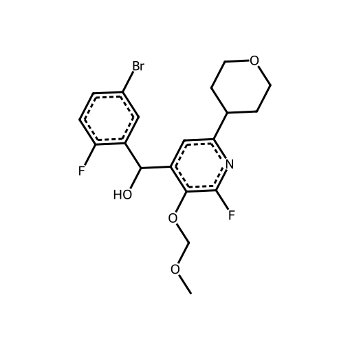 COCOc1c(C(O)c2cc(Br)ccc2F)cc(C2CCOCC2)nc1F